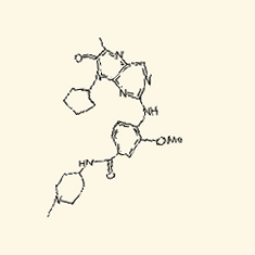 COc1cc(C(=O)NC2CCN(C)CC2)ccc1Nc1ncc2nc(C)c(=O)n(C3CCCC3)c2n1